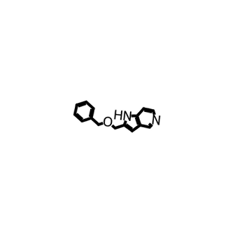 c1ccc(COCc2cc3cnccc3[nH]2)cc1